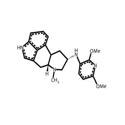 COc1ccc(N[C@H]2CC3c4cccc5[nH]cc(c45)C[C@H]3N(C)C2)c(OC)n1